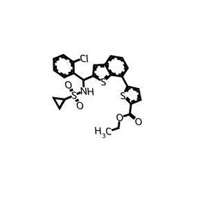 CCOC(=O)c1ccc(-c2cccc3cc(C(NS(=O)(=O)C4CC4)c4ccccc4Cl)sc23)s1